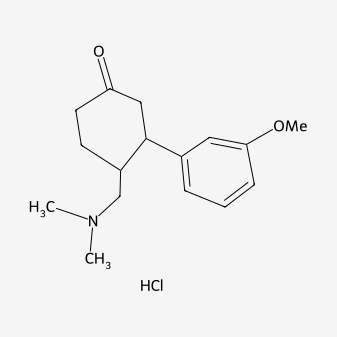 COc1cccc(C2CC(=O)CCC2CN(C)C)c1.Cl